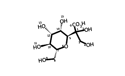 O=C(O)C(O)(CO)[C@H]1O[C@H](CO)[C@@H](O)[C@H](O)[C@@H]1O